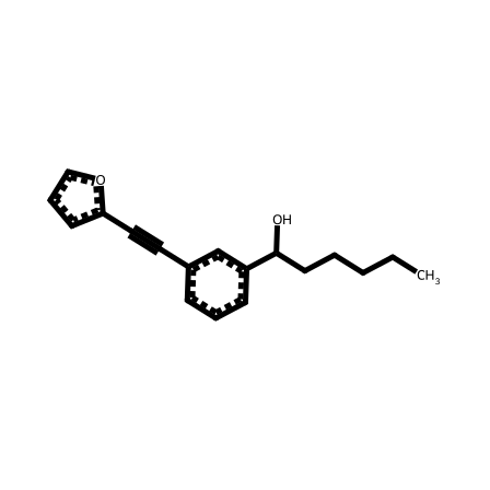 CCCCCC(O)c1cccc(C#Cc2ccco2)c1